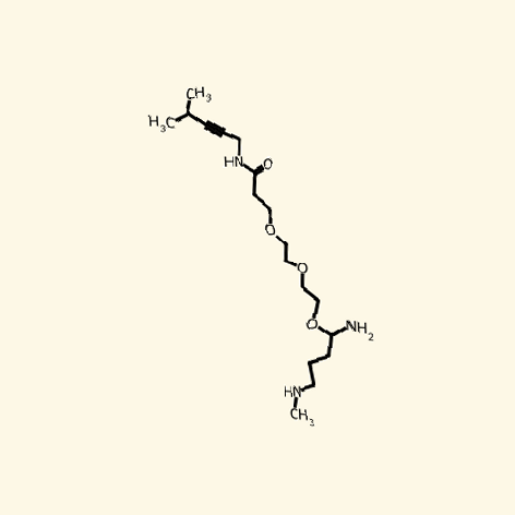 CNCCCC(N)OCCOCCOCCC(=O)NCC#CC(C)C